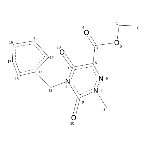 CCOC(=O)c1nn(C)c(=O)n(Cc2ccccc2)c1=O